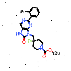 CC(C)c1ccccc1-c1ncc2[nH]c(=O)n(CC3(F)CCN(C(=O)OC(C)(C)C)CC3)c2n1